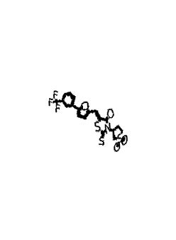 O=C1C(=Cc2ccc(-c3cccc(C(F)(F)F)c3)o2)SC(=S)N1C1CCS(=O)(=O)C1